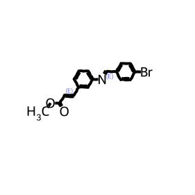 COC(=O)/C=C/c1cccc(/N=C/c2ccc(Br)cc2)c1